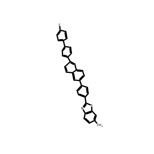 Cc1ccc2nc(-c3ccc(-c4ccc5cc(-c6ccc(-c7ccc(F)cc7)cc6)ccc5c4)cc3)sc2c1